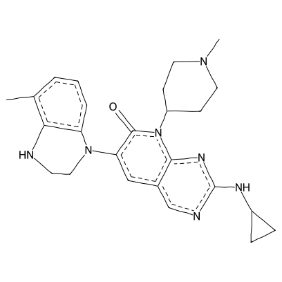 Cc1cccc2c1NCCN2c1cc2cnc(NC3CC3)nc2n(C2CCN(C)CC2)c1=O